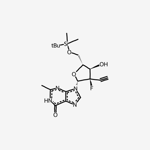 C#C[C@@]1(F)[C@H](O)[C@@H](CO[Si](C)(C)C(C)(C)C)O[C@H]1n1cnc2c(=O)[nH]c(C)nc21